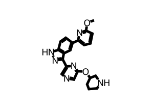 COc1cccc(-c2ccc3[nH]nc(-c4cncc(OC5CCCNC5)n4)c3c2)n1